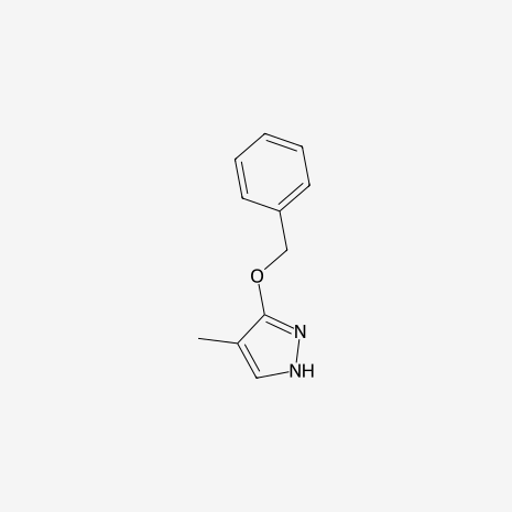 Cc1c[nH]nc1OCc1ccccc1